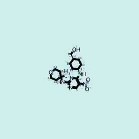 CC1(Nc2ncc([N+](=O)[O-])c(N[C@H]3CC[C@H](CO)CC3)n2)CCOCC1